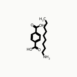 CCCCCCCCCN.O=C(O)c1ccc(C(=O)O)cc1